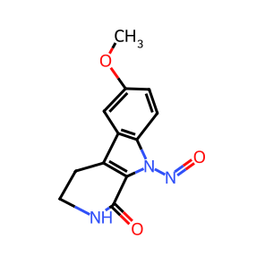 COc1ccc2c(c1)c1c(n2N=O)C(=O)NCC1